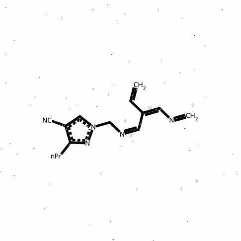 C=CC(/C=N\Cn1cc(C#N)c(CCC)n1)=C/N=C